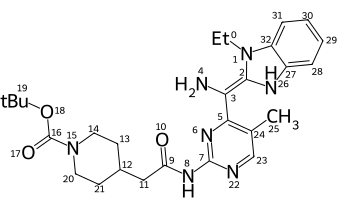 CCN1/C(=C(\N)c2nc(NC(=O)CC3CCN(C(=O)OC(C)(C)C)CC3)ncc2C)Nc2ccccc21